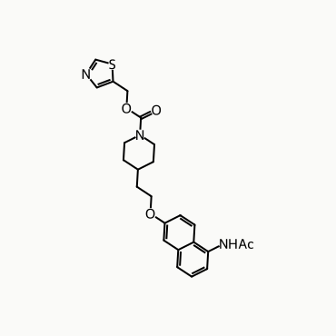 CC(=O)Nc1cccc2cc(OCCC3CCN(C(=O)OCc4cncs4)CC3)ccc12